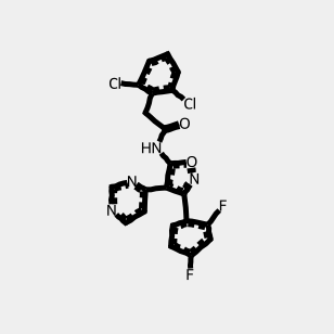 O=C(Cc1c(Cl)cccc1Cl)Nc1onc(-c2ccc(F)cc2F)c1-c1ccncn1